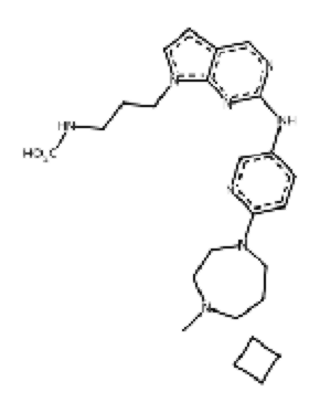 C1CCC1.CN1CCCN(c2ccc(Nc3ncc4ccn(CCCNC(=O)O)c4n3)cn2)CC1